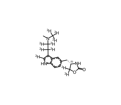 [2H]c1[nH]c2ccc(C[C@@H]3NC(=O)OC3([2H])[2H])cc2c1C([2H])([2H])C([2H])([2H])N(C)C([2H])([2H])[2H]